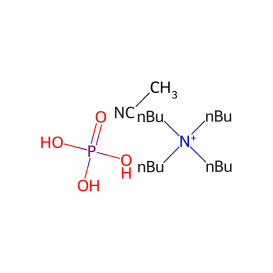 CC#N.CCCC[N+](CCCC)(CCCC)CCCC.O=P(O)(O)O